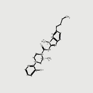 CCCCc1ccc2nc(NC(=O)N3CCN(c4ncccc4Cl)C[C@H]3C)n(C)c2c1